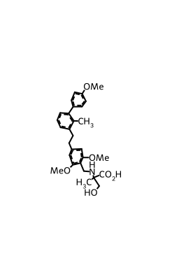 COc1ccc(-c2cccc(CCc3cc(OC)c(CNC(C)(CO)C(=O)O)c(OC)c3)c2C)cc1